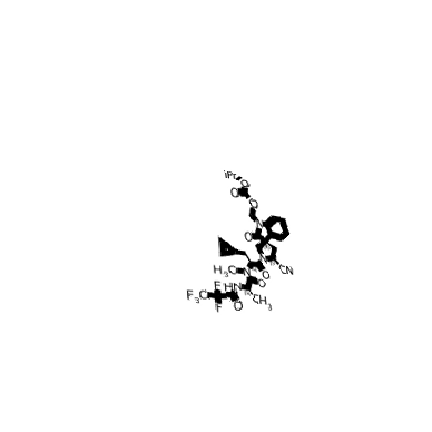 CC(C)OC(=O)OCN1C(=O)[C@]2(C[C@@H](C#N)N(C(=O)[C@H](CC3CC3)N(C)C(=O)[C@H](C)NC(=O)C(F)(F)C(F)(F)F)C2)c2ccccc21